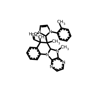 C=CC1(C)c2ccccc2N2c3nccnc3N(C)C2C1(C)C1N(C)C=CN1c1ccccc1C